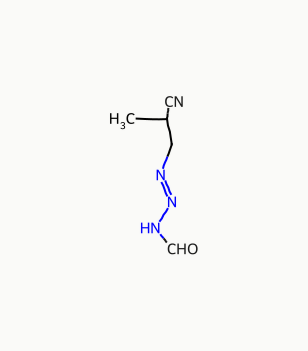 CC(C#N)CN=NNC=O